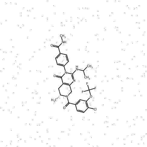 CNC(=O)c1ccc(-n2c(NC(C)C)nc3c(c2=O)C[C@@H](C)N(C(=O)c2ccc(Cl)c(OC(F)(F)F)c2)C3)cc1